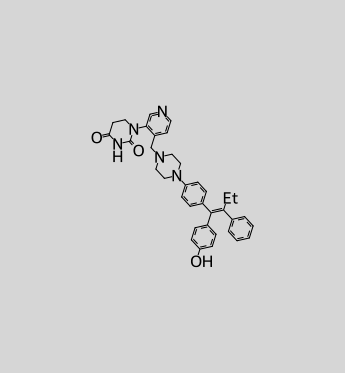 CCC(=C(c1ccc(O)cc1)c1ccc(N2CCN(Cc3ccncc3N3CCC(=O)NC3=O)CC2)cc1)c1ccccc1